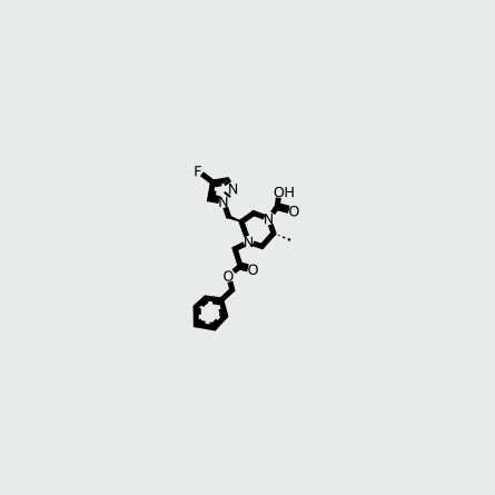 C[C@@H]1CN(CC(=O)OCc2ccccc2)[C@@H](Cn2cc(F)cn2)CN1C(=O)O